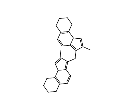 CC1=CC2C(=C1CC1=C3C=CC4=C(CCCC4)C3C=C1C)C=CC1=C2CCCC1